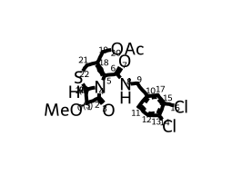 CO[C@H]1C(=O)N2C(C(=O)NCc3ccc(Cl)c(Cl)c3)=C(COC(C)=O)CS[C@H]12